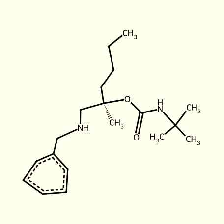 CCCC[C@](C)(CNCc1ccccc1)OC(=O)NC(C)(C)C